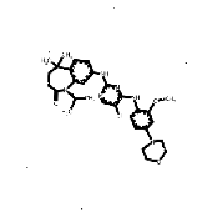 COc1cc(N2CCOCC2)ccc1Nc1nc(Nc2ccc3c(c2)N(C(C)C)C(=O)CCC3(C)C)ncc1Cl